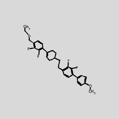 CCOCc1ccc(C2=CCC(CCc3ccc(-c4ccc(OC)cc4)c(F)c3F)CC2)c(F)c1F